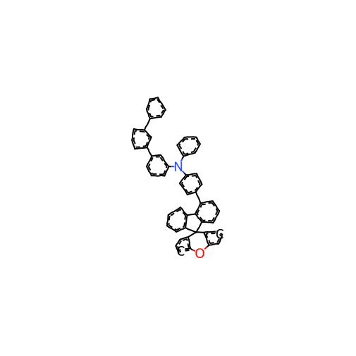 c1ccc(-c2cccc(-c3cccc(N(c4ccccc4)c4ccc(-c5cccc6c5-c5ccccc5C65c6ccccc6Oc6ccccc65)cc4)c3)c2)cc1